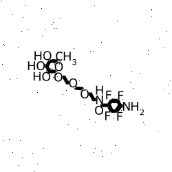 C[C@@H]1OC(OCCOCCOCCNC(=O)c2c(F)c(F)c(N)c(F)c2F)[C@@H](O)C(O)C1O